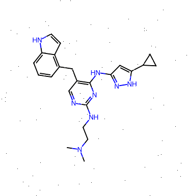 CN(C)CCNc1ncc(Cc2cccc3[nH]ccc23)c(Nc2cc(C3CC3)[nH]n2)n1